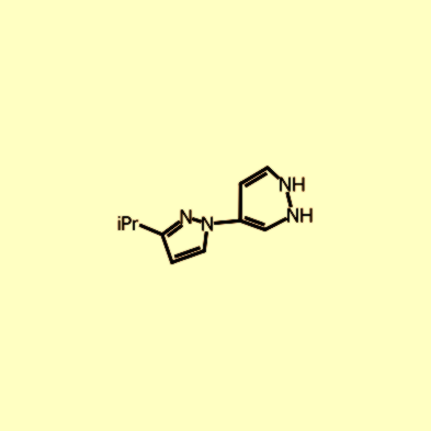 CC(C)c1ccn(C2=CNNC=C2)n1